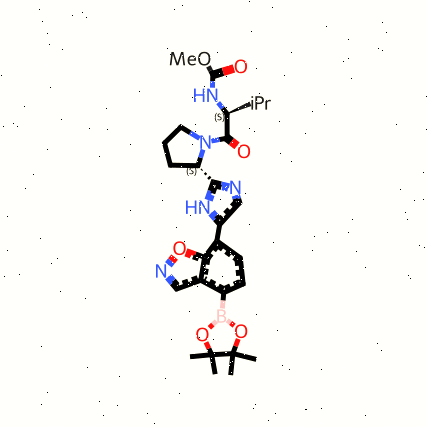 COC(=O)N[C@H](C(=O)N1CCC[C@H]1c1ncc(-c2ccc(B3OC(C)(C)C(C)(C)O3)c3cnoc23)[nH]1)C(C)C